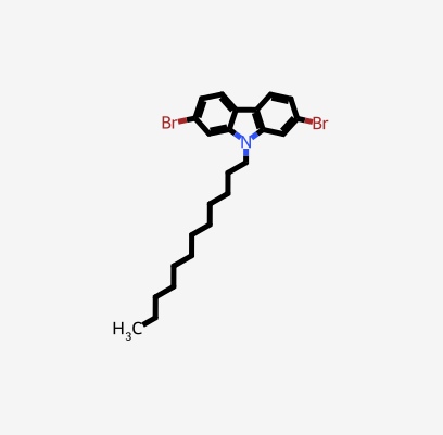 CCCCCCCCCCCCn1c2cc(Br)ccc2c2ccc(Br)cc21